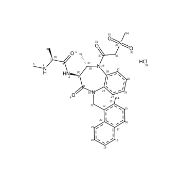 CN[C@@H](C)C(=O)N[C@@H]1C(=O)N(Cc2c(C)ccc3ccccc23)c2ccccc2N(C(=O)CS(C)(=O)=O)[C@H]1C.Cl